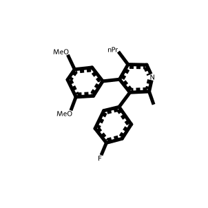 CCCc1cnc(C)c(-c2ccc(F)cc2)c1-c1cc(OC)cc(OC)c1